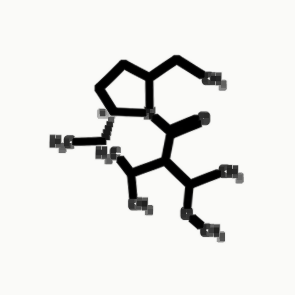 CCC1CC[C@@H](CC)N1C(=O)C(C(C)C)C(C)OC